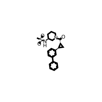 CS(=O)(=O)N[C@H]1CCCN(C(=O)[C@@H]2C[C@H]2c2cccc(-c3ccccc3)c2)C1